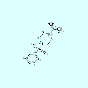 C=C(C)N1CCN(S(=O)(=O)c2ccccc2)CC1